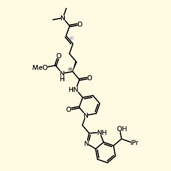 COC(=O)N[C@@H](CC/C=C/C(=O)N(C)C)C(=O)Nc1cccn(Cc2nc3cccc(C(O)C(C)C)c3[nH]2)c1=O